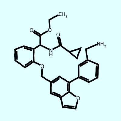 CCOC(=O)C(NC(=O)C1CC1)c1ccccc1OCc1cc(-c2cccc(CN)c2)c2occc2c1